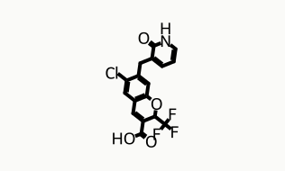 O=C(O)C1=Cc2cc(Cl)c(Cc3ccc[nH]c3=O)cc2OC1C(F)(F)F